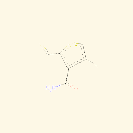 Cc1csc(C=S)c1C(N)=O